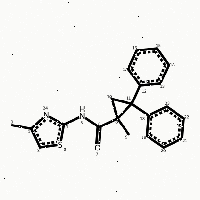 Cc1csc(NC(=O)C2(C)CC2(c2ccccc2)c2ccccc2)n1